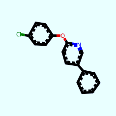 Clc1ccc(Oc2ccc(-c3cc[c]cc3)cn2)cc1